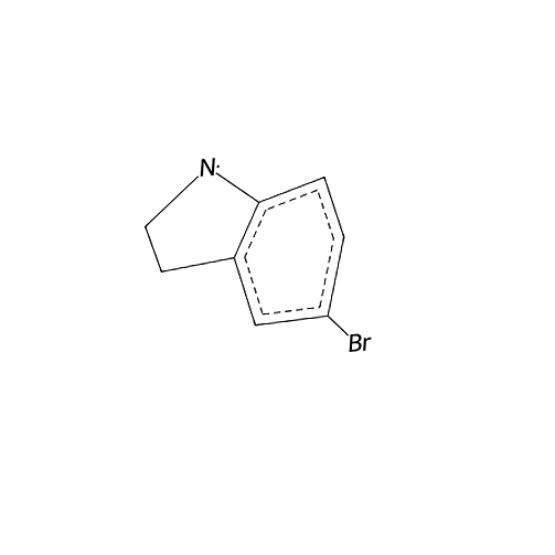 Brc1ccc2c(c1)CC[N]2